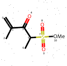 C=C(C)C(=O)C(C)S(=O)(=O)OC